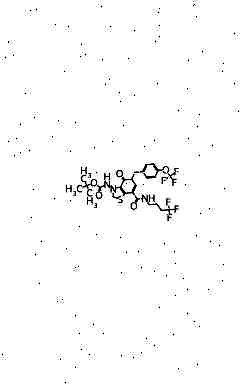 CC(C)(C)OC(=O)NN1CSC2=C1C(=O)C(Cc1ccc(OC(F)(F)F)cc1)C=C2C(=O)NCCCC(F)(F)F